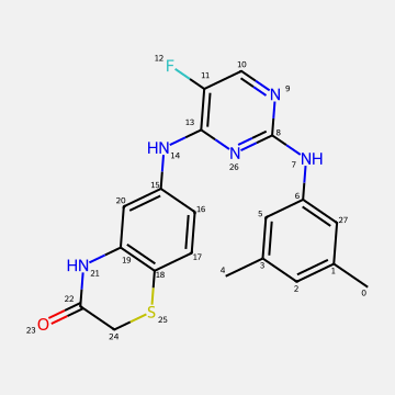 Cc1cc(C)cc(Nc2ncc(F)c(Nc3ccc4c(c3)NC(=O)CS4)n2)c1